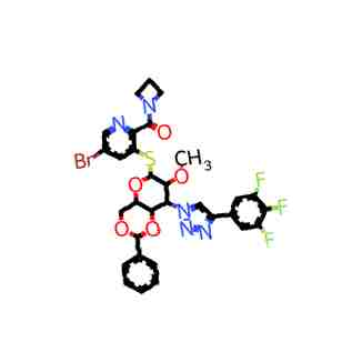 COC1C(Sc2cc(Br)cnc2C(=O)N2CCC2)OC2COC(c3ccccc3)OC2C1n1cc(-c2cc(F)c(F)c(F)c2)nn1